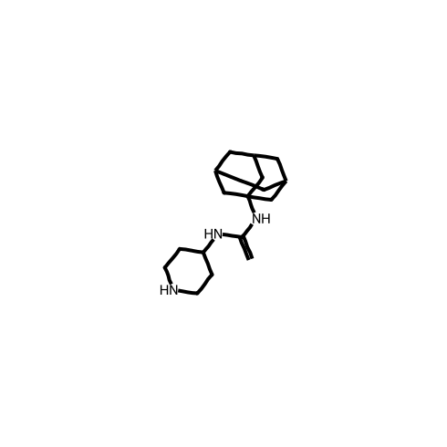 C=C(NC1CCNCC1)NC12CC3CC(CC(C3)C1)C2